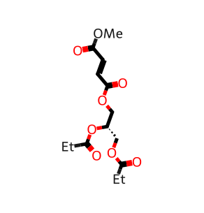 CCC(=O)OC[C@@H](COC(=O)/C=C/C(=O)OC)OC(=O)CC